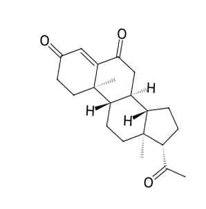 CC(=O)[C@H]1CC[C@H]2[C@@H]3CC(=O)C4=CC(=O)CC[C@]4(C)[C@H]3CC[C@]12C